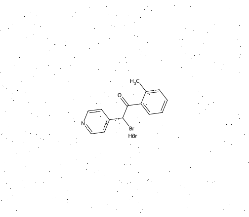 Br.Cc1ccccc1C(=O)C(Br)c1ccncc1